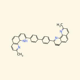 Cc1ccc2c(n1)C1NC(c3ccc(-c4ccc(-c5c#cc6ccc7ccc(C)nc7c6n5)cc4)cc3)=CC=C1C=C2